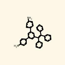 Nc1ccc(-c2cc(C(=C(c3ccccc3)c3ccccc3)c3ccccc3)cc(-c3ccc(N)cc3)c2)cc1